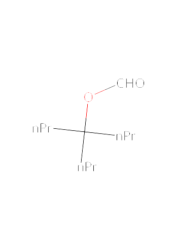 CCCC(CCC)(CCC)OC=O